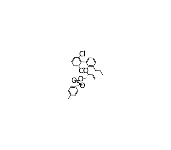 C=C[C@H](COS(=O)(=O)c1ccc(C)cc1)Oc1c(/C=C/C)cccc1-c1c(Cl)cccc1Cl